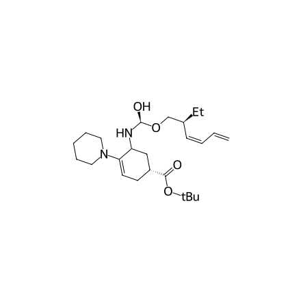 C=C/C=C\[C@H](CC)CO[C@H](O)NC1C[C@H](C(=O)OC(C)(C)C)CC=C1N1CCCCC1